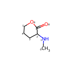 CNC1CCCOC1=O